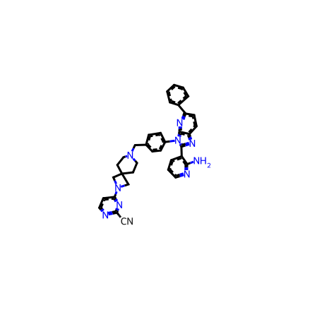 N#Cc1nccc(N2CC3(CCN(Cc4ccc(-n5c(-c6cccnc6N)nc6ccc(-c7ccccc7)nc65)cc4)CC3)C2)n1